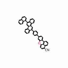 N#Cc1ccc2c3c(cccc13)-c1ccc(-c3ccc(-c4cc5c6ccccc6c(-c6cccc7ccccc67)cc5c5ccccc45)cc3)cc1O2